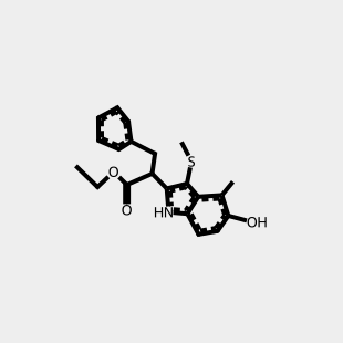 CCOC(=O)C(Cc1ccccc1)c1[nH]c2ccc(O)c(C)c2c1SC